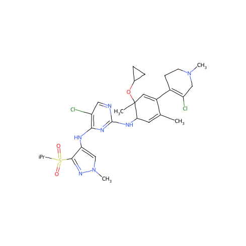 CC1=CC(Nc2ncc(Cl)c(Nc3cn(C)nc3S(=O)(=O)C(C)C)n2)C(C)(OC2CC2)C=C1C1=C(Cl)CN(C)CC1